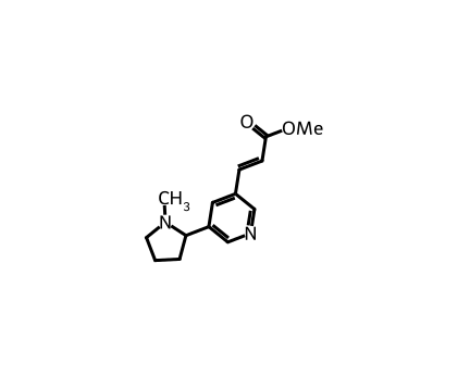 COC(=O)C=Cc1cncc(C2CCCN2C)c1